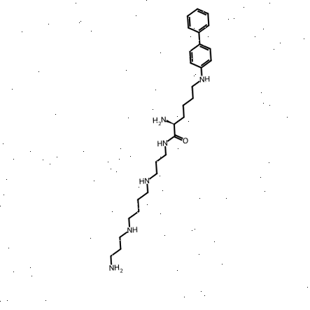 NCCCNCCCCNCCCNC(=O)[C@@H](N)CCCCNc1ccc(-c2ccccc2)cc1